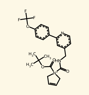 CC(C)(C)OC(=O)[N+]1(C(=O)NCc2ccnc(-c3ccc(OC(F)(F)F)cc3)c2)CC=CC1